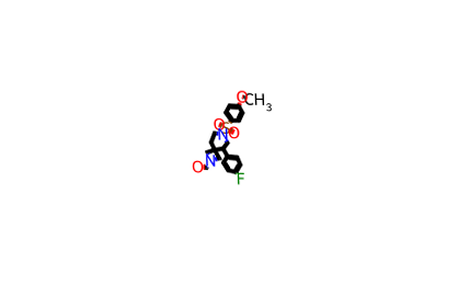 COc1ccc(S(=O)(=O)N2CCC3(CN(C=O)C3)C(c3ccc(F)cc3)C2)cc1